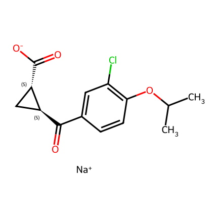 CC(C)Oc1ccc(C(=O)[C@H]2C[C@@H]2C(=O)[O-])cc1Cl.[Na+]